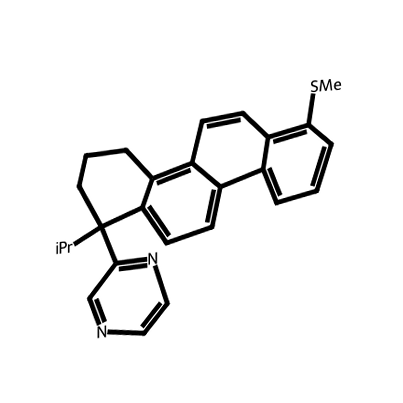 CSc1cccc2c1ccc1c3c(ccc12)C(c1cnccn1)(C(C)C)CCC3